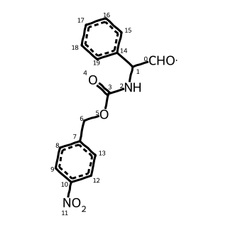 O=[C]C(NC(=O)OCc1ccc([N+](=O)[O-])cc1)c1ccccc1